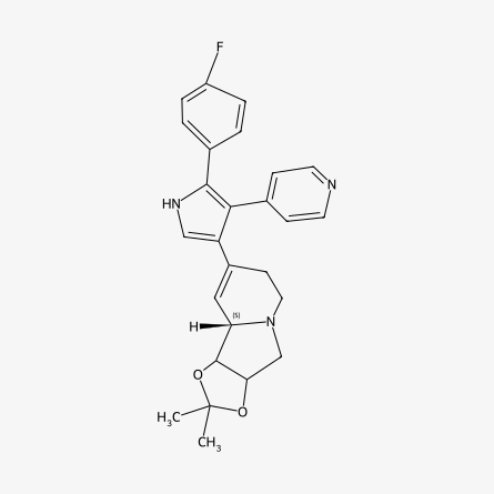 CC1(C)OC2CN3CCC(c4c[nH]c(-c5ccc(F)cc5)c4-c4ccncc4)=C[C@H]3C2O1